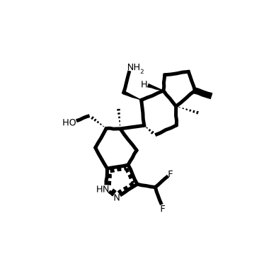 C=C1CC[C@H]2[C@H](CN)[C@@H]([C@@]3(C)Cc4c(C(F)F)n[nH]c4C[C@@H]3CO)CC[C@]12C